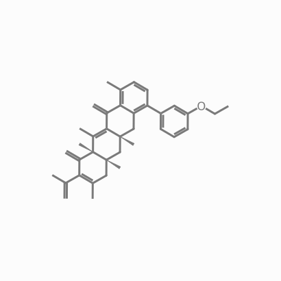 C=C(C)C1=C(C)C[C@@]2(C)C[C@@]3(C)Cc4c(-c5cccc(OCC)c5)ccc(C)c4C(=C)C3=C(C)[C@@]2(C)C1=C